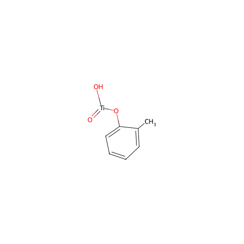 Cc1ccccc1[O][Ti](=[O])[OH]